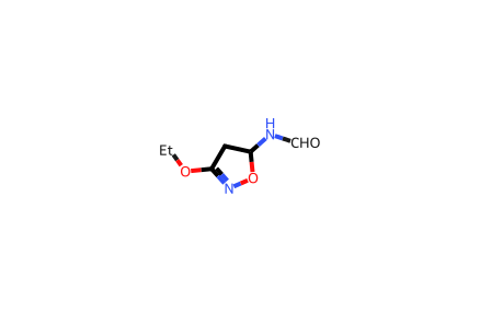 CCOC1=NOC(NC=O)C1